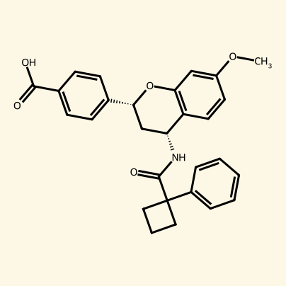 COc1ccc2c(c1)O[C@@H](c1ccc(C(=O)O)cc1)C[C@H]2NC(=O)C1(c2ccccc2)CCC1